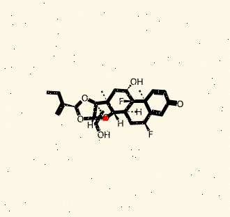 C=C(CC)[C@@H]1O[C@@H]2C[C@H]3[C@@H]4C[C@H](F)C5=CC(=O)C=C[C@]5(C)[C@@]4(F)[C@@H](O)C[C@]3(C)[C@]2(C(=O)CO)O1